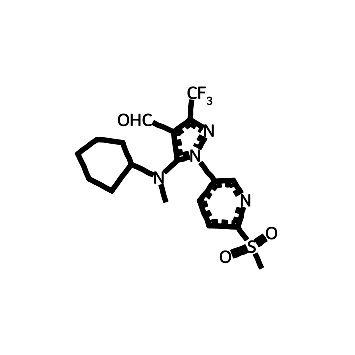 CN(c1c(C=O)c(C(F)(F)F)nn1-c1ccc(S(C)(=O)=O)nc1)C1CCCCC1